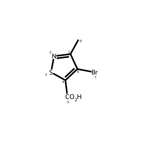 Cc1nsc(C(=O)O)c1Br